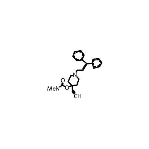 C#CC1(OC(=O)NC)CCN(CC=C(c2ccccc2)c2ccccc2)CC1